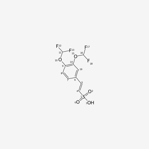 O=S(=O)(O)/C=C/c1ccc(OC(F)F)c(OC(F)F)c1